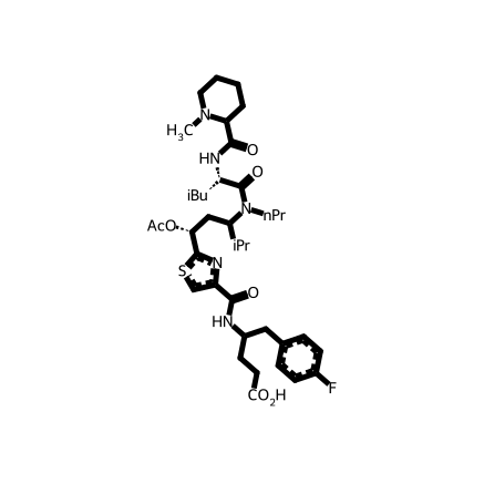 CCCN(C(=O)[C@@H](NC(=O)C1CCCCN1C)[C@@H](C)CC)C(C[C@@H](OC(C)=O)c1nc(C(=O)NC(CCC(=O)O)Cc2ccc(F)cc2)cs1)C(C)C